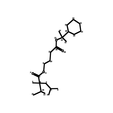 CC(C)CC(C)(C(=O)OCCCC(=O)OC(C)(C)C1CCCCC1)C(C)C